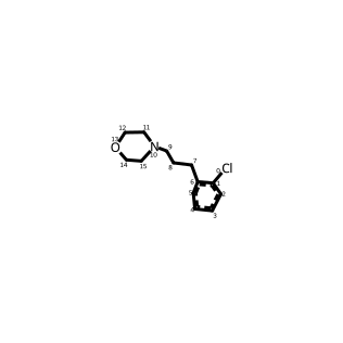 Clc1ccccc1CCCN1CCOCC1